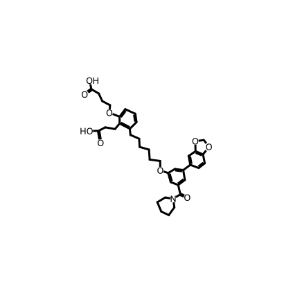 O=C(O)CCCOc1cccc(CCCCCCOc2cc(C(=O)N3CCCCC3)cc(-c3ccc4c(c3)OCO4)c2)c1CCC(=O)O